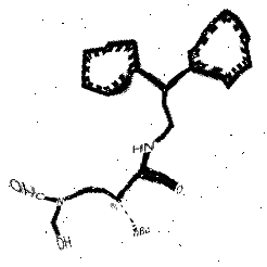 CCCC[C@H](CN(O)C=O)C(=O)NCC(c1ccccc1)c1ccccc1